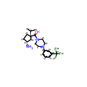 CC(C)[C@]1(C(=O)N2CCN(c3cccc(C(F)(F)F)c3)CC2)CC[C@@H](N)C1